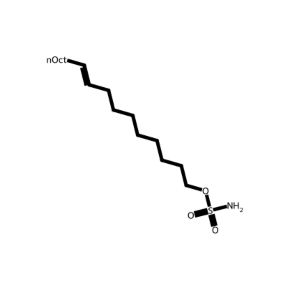 CCCCCCCCC=CCCCCCCCCOS(N)(=O)=O